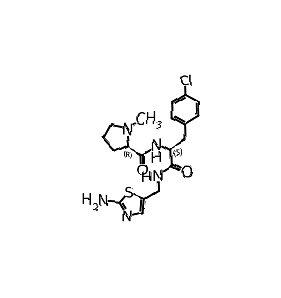 CN1CCC[C@@H]1C(=O)N[C@@H](Cc1ccc(Cl)cc1)C(=O)NCc1cnc(N)s1